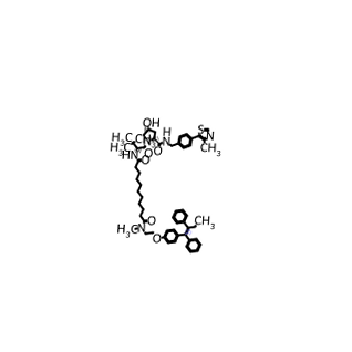 CC/C(=C(\c1ccccc1)c1ccc(OCCN(C)C(=O)CCCCCCCCCC(=O)N[C@H](C(=O)N2C[C@H](O)C[C@H]2C(=O)NCc2ccc(-c3scnc3C)cc2)C(C)(C)C)cc1)c1ccccc1